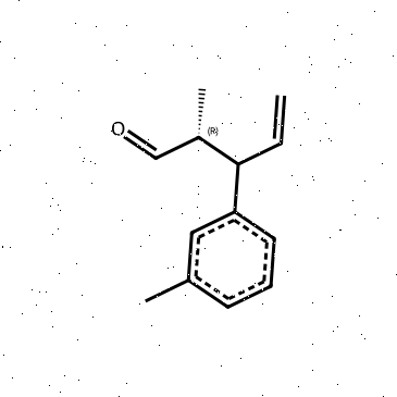 C=CC(c1cccc(C)c1)[C@@H](C)C=O